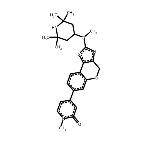 CN(c1nc2c(s1)-c1ccc(-c3ccn(C)c(=O)c3)cc1OC2)C1CC(C)(C)NC(C)(C)C1